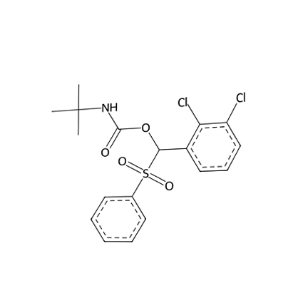 CC(C)(C)NC(=O)OC(c1cccc(Cl)c1Cl)S(=O)(=O)c1ccccc1